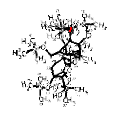 C[Si](C)(C)OCC1C2=C3CC3(O[C@H]3OC(CO)C4(O[Si](C)(C)C)CCC3C(O[Si](C)(C)C)C4O[Si](C)(C)C)C(O[Si](C)(C)C)C(O[Si](C)(C)C)C21O[Si](C)(C)C